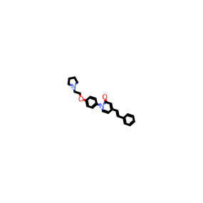 O=c1cc(C=Cc2ccccc2)ccn1-c1ccc(OCCN2CCCC2)cc1